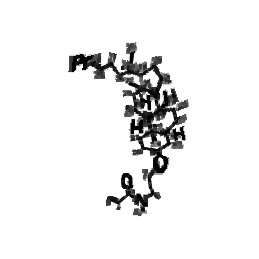 C=CC(=O)N(C)CCO[C@H]1CC[C@@]2(C)[C@@H](CC[C@@H]3[C@@H]2CC[C@]2(C)C([C@H](C)CCCC(C)C)CC[C@@H]32)C1